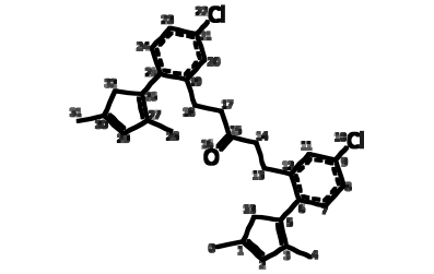 CC1=CC(C)=C(c2ccc(Cl)cc2CCC(=O)CCc2cc(Cl)ccc2C2=C(C)C=C(C)C2)C1